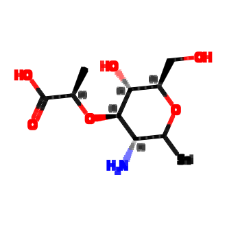 C[C@@H](O[C@H]1[C@H](O)[C@@H](CO)O[CH]([Sn])[C@@H]1N)C(=O)O